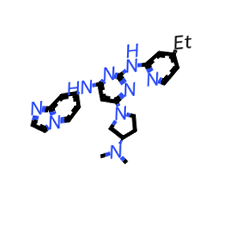 CCc1ccnc(Nc2nc(Nc3ccn4ccnc4c3)cc(N3CC[C@@H](N(C)C)C3)n2)c1